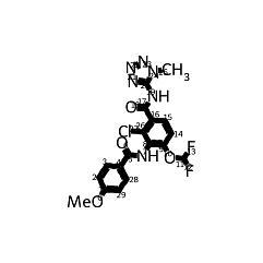 COc1ccc(C(=O)Nc2c(OC(F)F)ccc(C(=O)Nc3nnnn3C)c2Cl)cc1